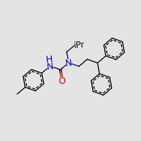 Cc1ccc(NC(=O)N(CCC(c2ccccc2)c2ccccc2)CC(C)C)cc1